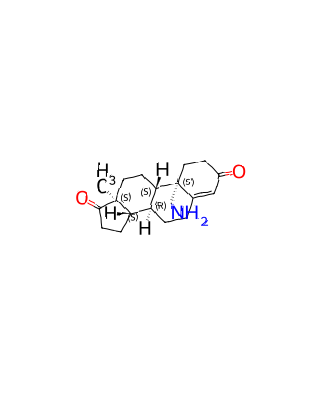 C[C@]12CC[C@H]3[C@@H](CCC4=CC(=O)CC[C@@]43CN)[C@@H]1CCC2=O